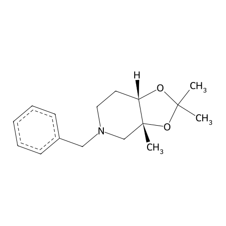 CC1(C)O[C@H]2CCN(Cc3ccccc3)C[C@@]2(C)O1